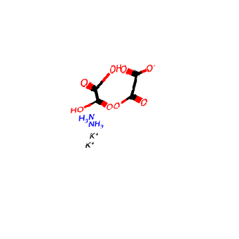 N.N.O=C(O)C(=O)O.O=C([O-])C(=O)[O-].[K+].[K+]